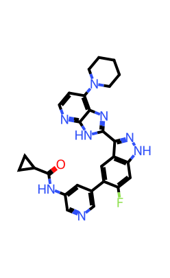 O=C(Nc1cncc(-c2cc3c(-c4nc5c(N6CCCCC6)ccnc5[nH]4)n[nH]c3cc2F)c1)C1CC1